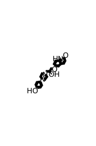 O=c1ccc2cc(OC[C@@H](O)CN3CCN(c4ccc(O)cc4)CC3)ccc2[nH]1